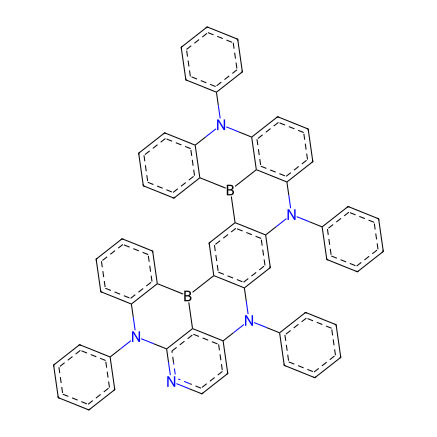 c1ccc(N2c3ccccc3B3c4cc5c(cc4N(c4ccccc4)c4cccc2c43)N(c2ccccc2)c2ccnc3c2B5c2ccccc2N3c2ccccc2)cc1